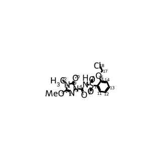 COc1nn(C(=O)NS(=O)(=O)c2ccccc2OCCl)c(=O)n1C